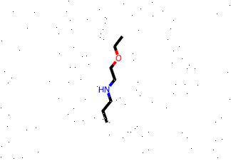 [CH2]CCNCCOCC